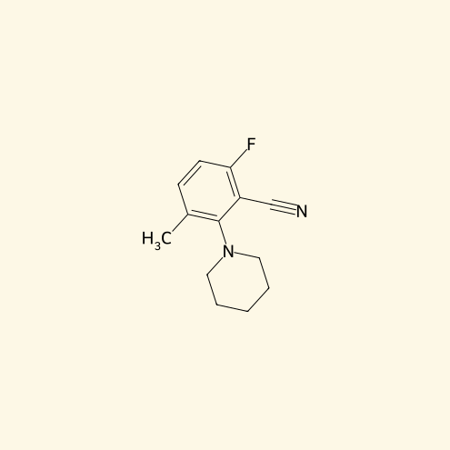 Cc1ccc(F)c(C#N)c1N1CCCCC1